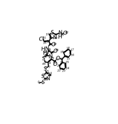 CSc1nnc(SCC2=C(C(=O)OC(c3ccccc3)c3ccccc3)N3C(=O)C(NC(=O)C(=CCl)c4csc(NC=O)n4)[C@@H]3SC2)s1